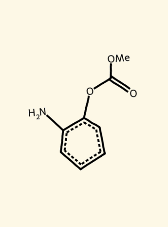 COC(=O)Oc1ccccc1N